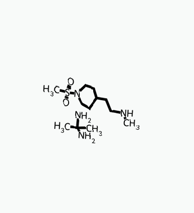 CC(C)(N)N.CNCCC1CCN(S(C)(=O)=O)CC1